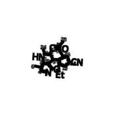 CCOc1ncc(C)c2c1C(c1ccc(C#N)cc1C1CC1C)C(C=O)=C(C)N2